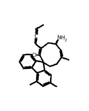 CC=C=C/C1=C(\Cl)C2(CC/C(C)=C\C(N)C1)c1ccccc1-c1c(C)cc(C)cc12